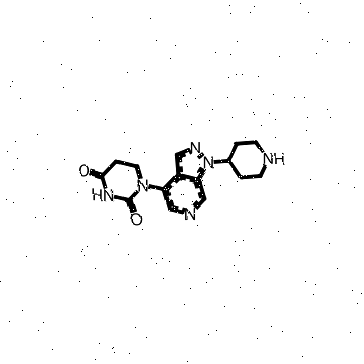 O=C1CCN(c2cncc3c2cnn3C2CCNCC2)C(=O)N1